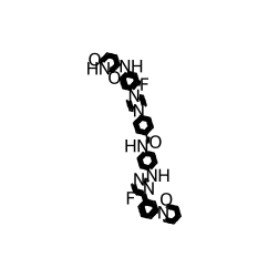 O=C1CC[C@@H](Nc2ccc(N3CCN([C@H]4CC[C@H](C(=O)NC5CCC(Nc6ncc(F)c(-c7cccc(N8CCCCC8=O)c7)n6)CC5)CC4)CC3)c(F)c2)C(=O)N1